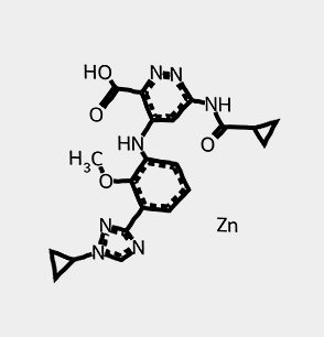 COc1c(Nc2cc(NC(=O)C3CC3)nnc2C(=O)O)cccc1-c1ncn(C2CC2)n1.[Zn]